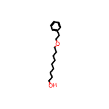 OCCCCCCCCCOCCc1ccccc1